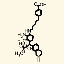 COC(=O)C(C)(C)C(c1ccc2c(c1)CNCC2)c1ccc(NCCCCCc2ccc(C(=O)O)cc2)c(N)c1C